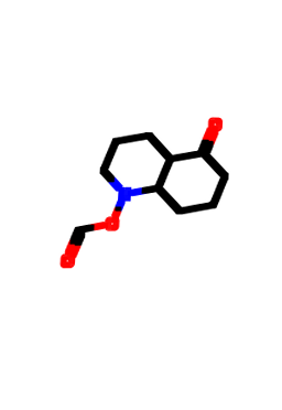 O=CON1CCCC2C(=O)CCCC21